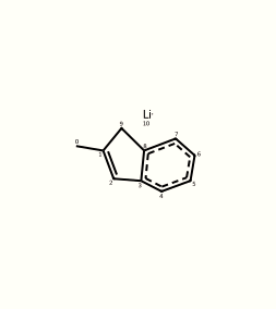 CC1=Cc2ccccc2C1.[Li]